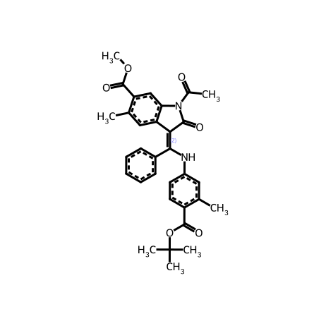 COC(=O)c1cc2c(cc1C)/C(=C(/Nc1ccc(C(=O)OC(C)(C)C)c(C)c1)c1ccccc1)C(=O)N2C(C)=O